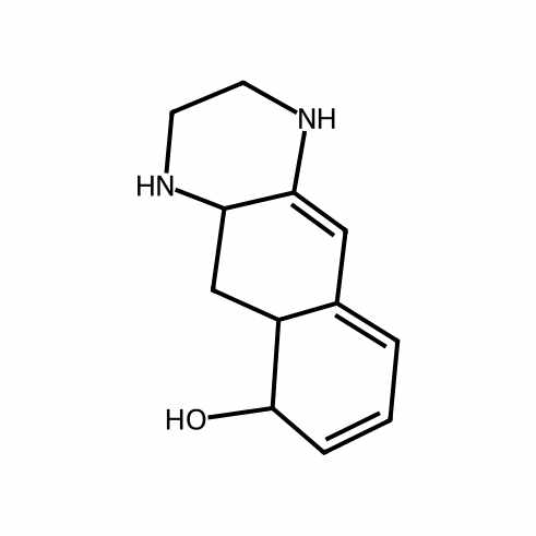 OC1C=CC=C2C=C3NCCNC3CC21